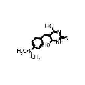 CN(C)C1=CCC(/C=C2/C(O)=NC(=S)NC2O)C=C1